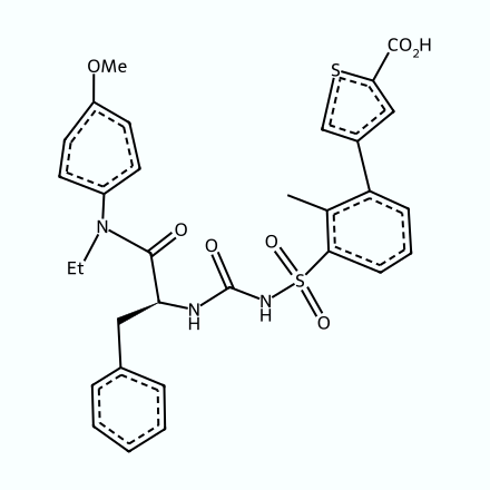 CCN(C(=O)[C@H](Cc1ccccc1)NC(=O)NS(=O)(=O)c1cccc(-c2csc(C(=O)O)c2)c1C)c1ccc(OC)cc1